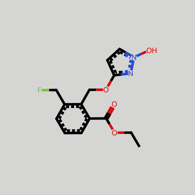 CCOC(=O)c1cccc(CF)c1COc1ccn(O)n1